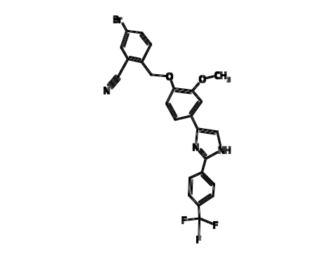 COc1cc(-c2c[nH]c(-c3ccc(C(F)(F)F)cc3)n2)ccc1OCc1ccc(Br)cc1C#N